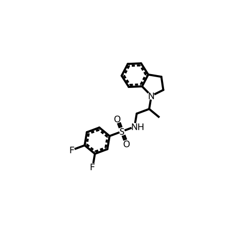 CC(CNS(=O)(=O)c1ccc(F)c(F)c1)N1CCc2ccccc21